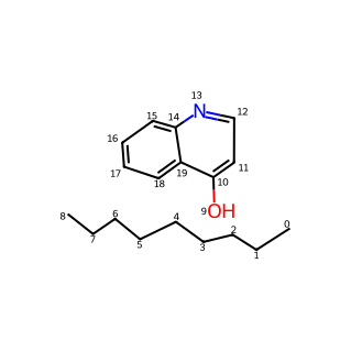 CCCCCCCCC.Oc1ccnc2ccccc12